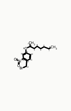 CCCCCCC(C)Oc1ccc(CBr)c([N+](=O)[O-])c1